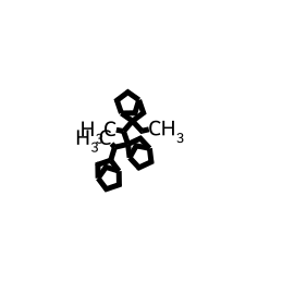 CCC1(C(C)C2(C(C)C3CC4CCC3C4)CC3CCC2C3)CC2CCC1C2